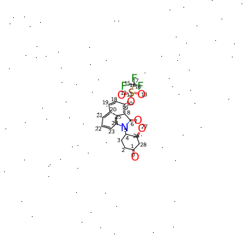 O=C1CCC(N2C(=O)c3c(OS(=O)(=O)C(F)(F)F)ccc4cccc2c34)C(=O)C1